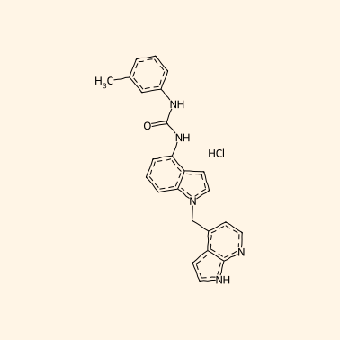 Cc1cccc(NC(=O)Nc2cccc3c2ccn3Cc2ccnc3[nH]ccc23)c1.Cl